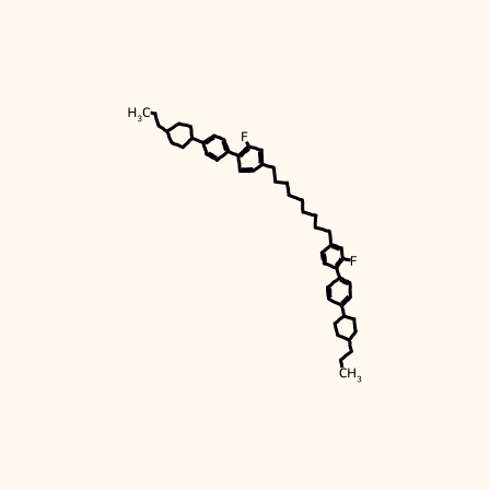 CCCC1CCC(c2ccc(-c3ccc(CCCCCCCCCc4ccc(-c5ccc(C6CCC(CCC)CC6)cc5)c(F)c4)cc3F)cc2)CC1